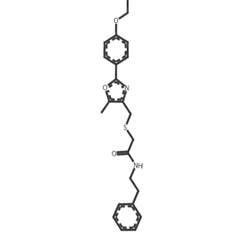 CCOc1ccc(-c2nc(CSCC(=O)NCCc3ccccc3)c(C)o2)cc1